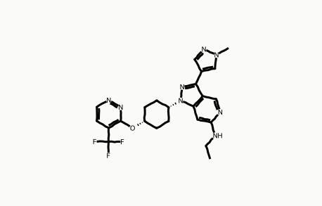 CCNc1cc2c(cn1)c(-c1cnn(C)c1)nn2[C@H]1CC[C@@H](Oc2nnccc2C(F)(F)F)CC1